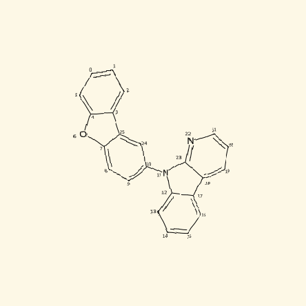 c1ccc2c(c1)oc1ccc(-n3c4ccccc4c4cccnc43)cc12